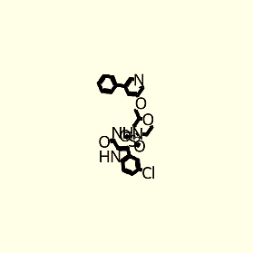 NC(=O)c1[nH]c2ccc(Cl)cc2c1S(=O)(=O)N1CCOC(COc2cncc(-c3ccccc3)c2)C1